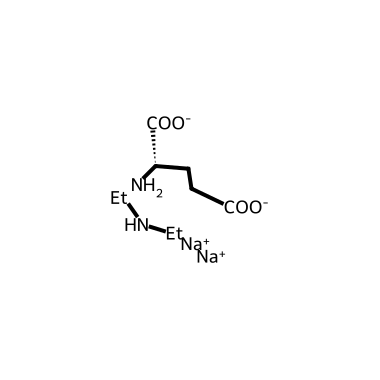 CCNCC.N[C@@H](CCC(=O)[O-])C(=O)[O-].[Na+].[Na+]